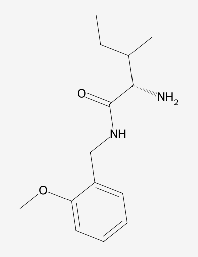 CCC(C)[C@H](N)C(=O)NCc1ccccc1OC